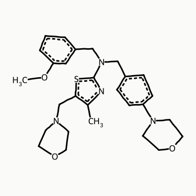 COc1cccc(CN(Cc2ccc(N3CCOCC3)cc2)c2nc(C)c(CN3CCOCC3)s2)c1